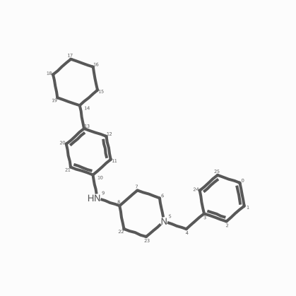 c1ccc(CN2CCC(Nc3ccc(C4CCCCC4)cc3)CC2)cc1